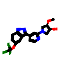 CO[C@H]1CN(c2cc(-c3n[nH]c4ccc(OC(F)(F)F)cc34)ccn2)C[C@@H]1O